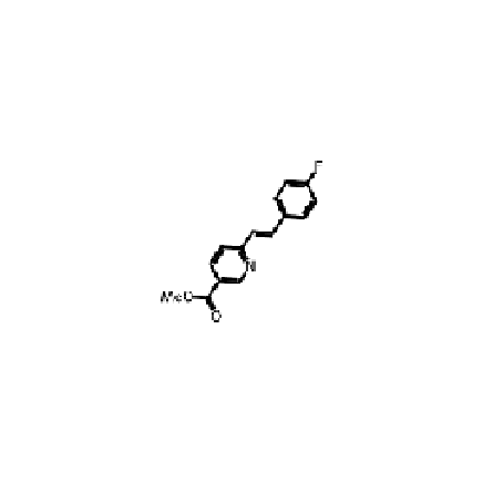 COC(=O)c1ccc(/C=C/c2ccc(F)cc2)nc1